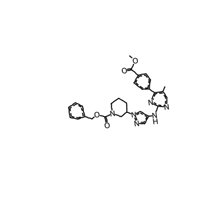 COC(=O)c1ccc(-c2nc(Nc3cnn(C4CCCN(C(=O)OCc5ccccc5)C4)c3)ncc2C)cc1